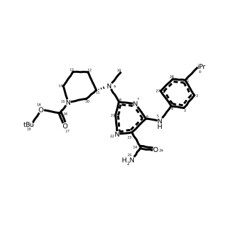 CC(C)c1ccc(Nc2nc(N(C)[C@H]3CCCN(C(=O)OC(C)(C)C)C3)cnc2C(N)=O)cc1